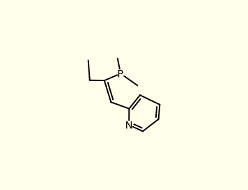 CCC(=Cc1ccccn1)P(C)C